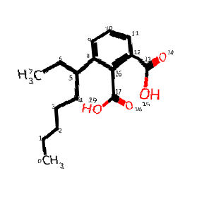 CCCCCC(CC)c1cccc(C(=O)O)c1C(=O)O